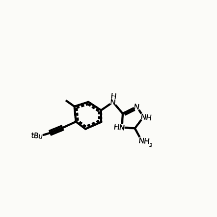 Cc1cc(NC2=NNC(N)N2)ccc1C#CC(C)(C)C